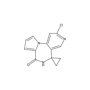 O=C1NC2(CC2)c2cnc(Cl)cc2-n2cccc21